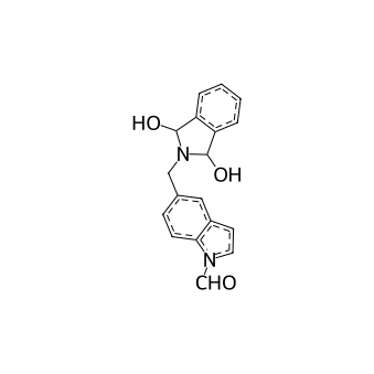 O=Cn1ccc2cc(CN3C(O)c4ccccc4C3O)ccc21